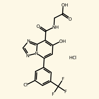 Cl.O=C(O)CNC(=O)c1c(O)cc(-c2cc(Cl)cc(C(F)(F)F)c2)n2ncnc12